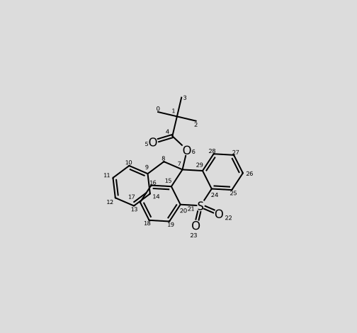 CC(C)(C)C(=O)OC1(Cc2ccccc2)c2ccccc2S(=O)(=O)c2ccccc21